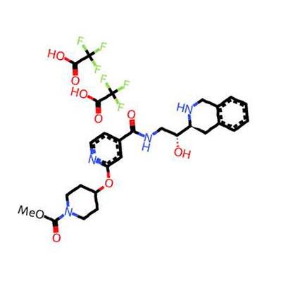 COC(=O)N1CCC(Oc2cc(C(=O)NC[C@@H](O)[C@@H]3Cc4ccccc4CN3)ccn2)CC1.O=C(O)C(F)(F)F.O=C(O)C(F)(F)F